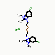 Cc1n(C)c2cc(Cl)ccc2[n+]1CCSSCC[n+]1c(C)n(C)c2cc(Cl)ccc21.[Br-].[Br-]